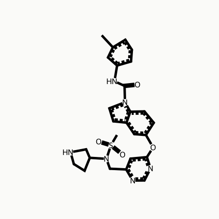 Cc1cccc(NC(=O)n2ccc3cc(Oc4cc(CN(C5CCNC5)S(C)(=O)=O)ncn4)ccc32)c1